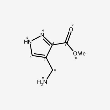 COC(=O)c1n[nH]cc1CN